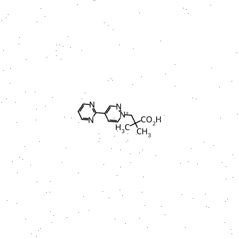 CC(C)(C[n+]1ccc(-c2ncccn2)cn1)C(=O)O